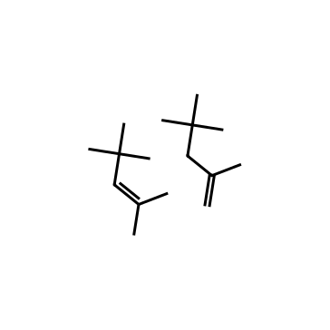 C=C(C)CC(C)(C)C.CC(C)=CC(C)(C)C